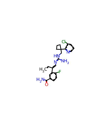 C=C/C(=C\N=C(/N)NCC1(c2ncccc2Cl)CCC1)c1cc(C(N)=O)ccc1F